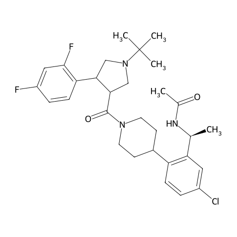 CC(=O)N[C@@H](C)c1cc(Cl)ccc1C1CCN(C(=O)C2CN(C(C)(C)C)CC2c2ccc(F)cc2F)CC1